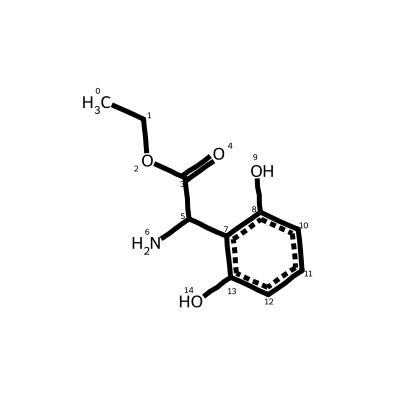 CCOC(=O)C(N)c1c(O)cccc1O